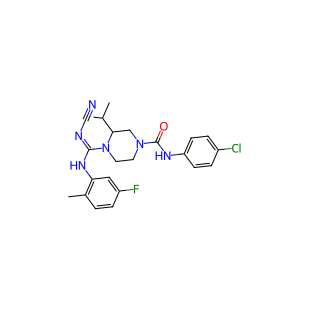 Cc1ccc(F)cc1N/C(=N/C#N)N1CCN(C(=O)Nc2ccc(Cl)cc2)CC1C(C)C